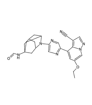 CCOc1cc(-c2cnc(N3C4CC5CC3CC(NC=O)(C5)C4)cn2)c2c(C#N)cnn2c1